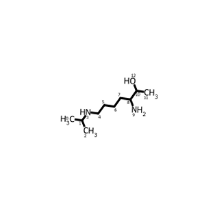 CC(C)NCCCCC(N)C(C)O